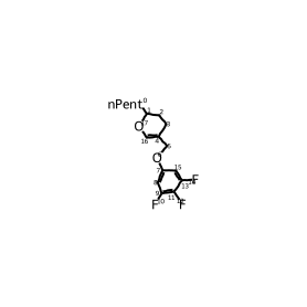 CCCCCC1CCC(COc2cc(F)c(F)c(F)c2)=CO1